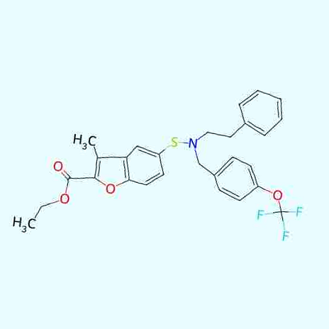 CCOC(=O)c1oc2ccc(SN(CCc3ccccc3)Cc3ccc(OC(F)(F)F)cc3)cc2c1C